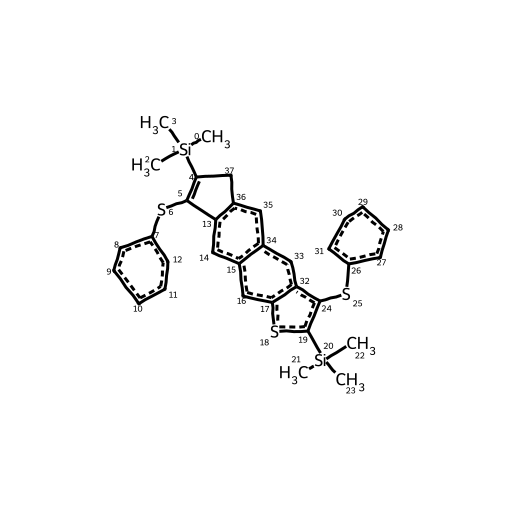 C[Si](C)(C)C1=C(Sc2ccccc2)c2cc3cc4sc([Si](C)(C)C)c(Sc5ccccc5)c4cc3cc2C1